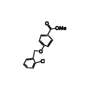 COC(=O)c1ccc(OCc2ccccc2Cl)cc1